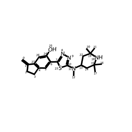 C=C1CCc2cc(-c3nnc(N(C)C4CC(C)(C)NC(C)(C)C4)s3)c(O)cc21